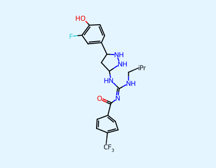 CC(C)CN/C(=N/C(=O)c1ccc(C(F)(F)F)cc1)NC1CC(c2ccc(O)c(F)c2)NN1